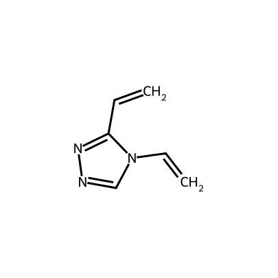 C=Cc1nncn1C=C